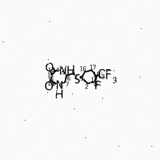 FC1CC(SCC2CNC3OC3C3OC3N2)CCC1C(F)(F)F